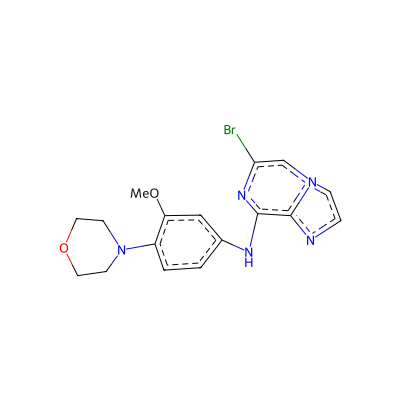 COc1cc(Nc2nc(Br)cn3ccnc23)ccc1N1CCOCC1